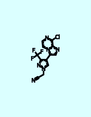 N#CCn1cc(-c2cnc3c(Cl)nccn23)c(C(F)(F)F)n1